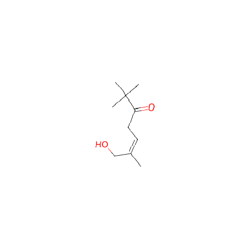 CC(=CCC(=O)C(C)(C)C)CO